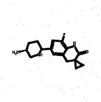 C[C@H]1CCC(c2cc(F)c3c(c2)CC2(CC2)C(=O)N3)NC1